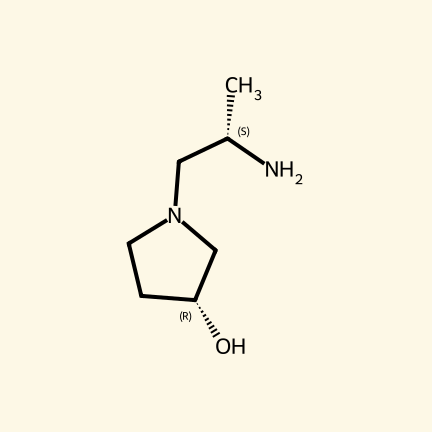 C[C@H](N)CN1CC[C@@H](O)C1